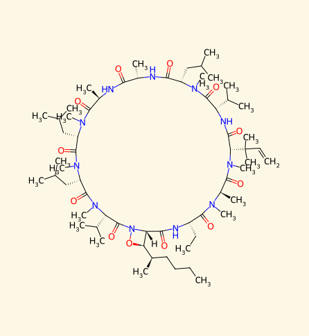 C=CC(C)(C)[C@H]1C(=O)N[C@@H](C(C)C)C(=O)N(C)[C@@H](CC(C)C)C(=O)N[C@@H](C)C(=O)N[C@H](C)C(=O)N(C)[C@@H](CC(C)C)C(=O)N(C)[C@@H](CC(C)C)C(=O)N(C)[C@@H](C(C)C)C(=O)N2O[C@H]([C@H](C)CCCC)[C@H]2C(=O)N[C@@H](CC)C(=O)N(C)[C@H](C)C(=O)N1C